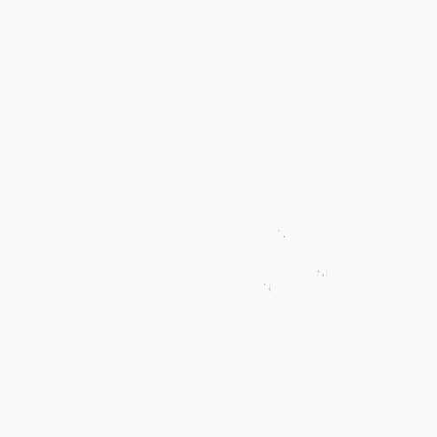 c1ccc(C2=NC(c3ccccc3)NC(c3cccc(-c4cccc(-c5cccc(-c6cccc(-c7ccccc7)c6)c5)c4)c3)=N2)cc1